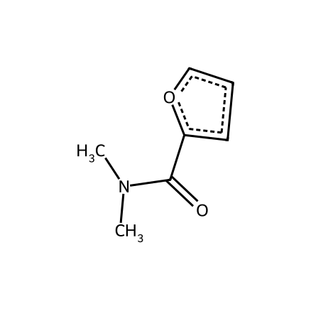 CN(C)C(=O)c1ccco1